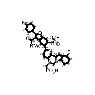 CCS(=O)(=O)Nc1cc2oc(-c3ccc(F)cc3)c(C(=O)NC)c2cc1-c1ccc2c(n1)-c1cc3c(F)cccc3n1CN2CC(=O)O